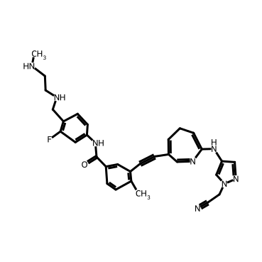 CNCCNCc1ccc(NC(=O)c2ccc(C)c(C#CC3=CCC=C(Nc4cnn(CC#N)c4)N=C3)c2)cc1F